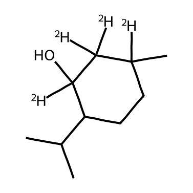 [2H]C1(C)CCC(C(C)C)C([2H])(O)C1([2H])[2H]